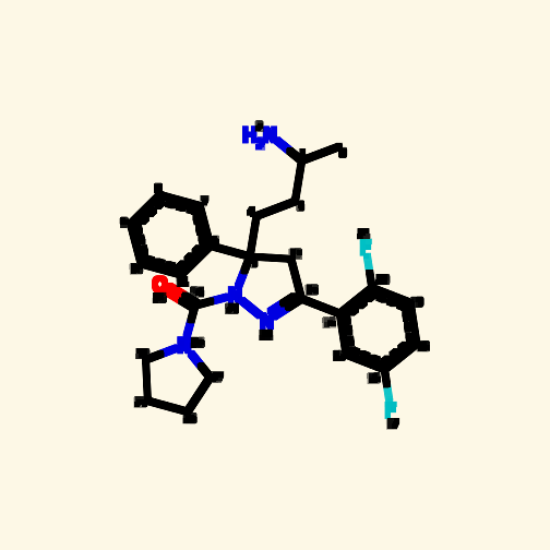 CC(N)CCC1(c2ccccc2)CC(c2cc(F)ccc2F)=NN1C(=O)N1CCCC1